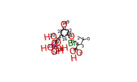 CC(C)CC(Br)C(=O)O.COc1cc(OC)cc(C(=O)O)c1.O=P(O)(O)O